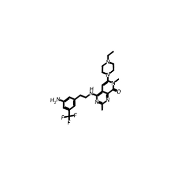 CCN1CCN(c2cc3c(NCCc4cc(N)cc(C(F)(F)F)c4)nc(C)nc3c(=O)n2C)CC1